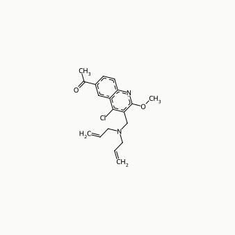 C=CCN(CC=C)Cc1c(OC)nc2ccc(C(C)=O)cc2c1Cl